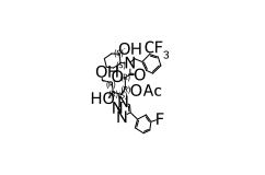 CC(=O)O[C@@H]1[C@@H](n2cc(-c3cccc(F)c3)nn2)[C@@H](O)[C@@H](CO)O[C@H]1C(=O)N(Cc1ccccc1C(F)(F)F)[C@H]1CCCC[C@@H]1O